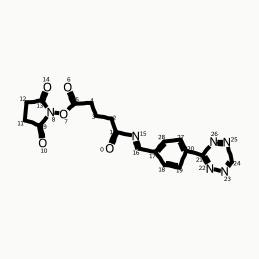 O=C(CCCC(=O)ON1C(=O)CCC1=O)N=Cc1ccc(-c2nncnn2)cc1